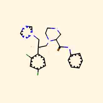 C[C@@H](N1CCNCC1C(=S)Nc1ccccc1)[C@](O)(Cn1cncn1)c1ccc(F)cc1F